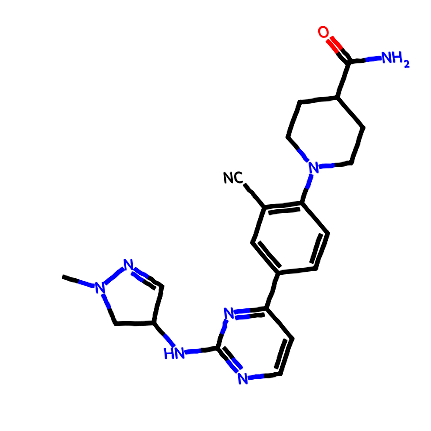 CN1CC(Nc2nccc(-c3ccc(N4CCC(C(N)=O)CC4)c(C#N)c3)n2)C=N1